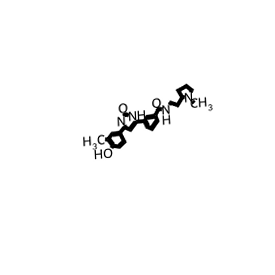 Cc1cc(-c2cc(-c3cccc(C(=O)NCCC4CCCN4C)c3)[nH]c(=O)n2)ccc1O